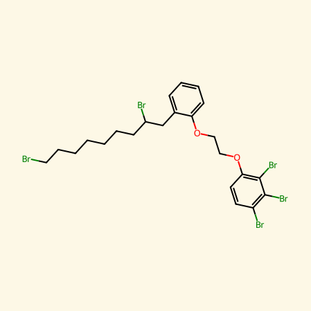 BrCCCCCCCC(Br)Cc1ccccc1OCCOc1ccc(Br)c(Br)c1Br